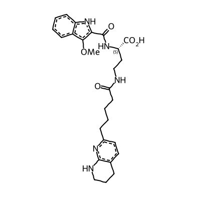 COc1c(C(=O)N[C@@H](CCNC(=O)CCCCc2ccc3c(n2)NCCC3)C(=O)O)[nH]c2ccccc12